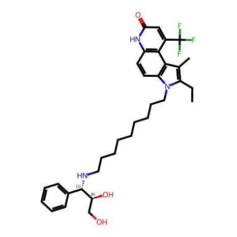 CCc1c(C)c2c3c(C(F)(F)F)cc(=O)[nH]c3ccc2n1CCCCCCCCCN[C@@H](c1ccccc1)[C@@H](O)CO